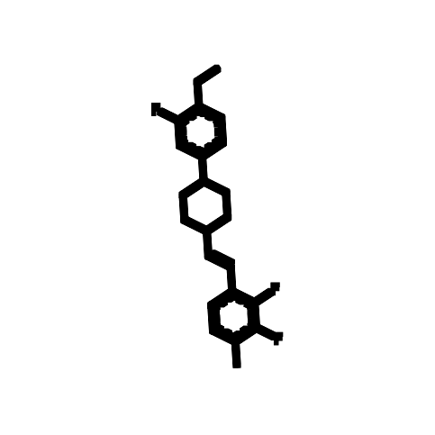 CCc1ccc(C2CCC(/C=C/c3ccc(C)c(F)c3F)CC2)cc1F